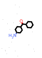 NC1CCC(C(=O)C2CCCCC2)CC1